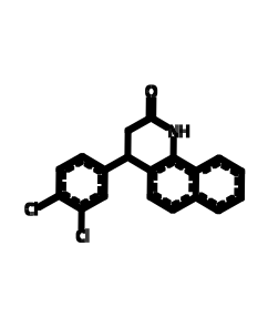 O=C1CC(c2ccc(Cl)c(Cl)c2)c2ccc3ccccc3c2N1